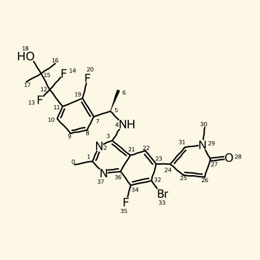 Cc1nc(N[C@H](C)c2cccc(C(F)(F)C(C)(C)O)c2F)c2cc(-c3ccc(=O)n(C)c3)c(Br)c(F)c2n1